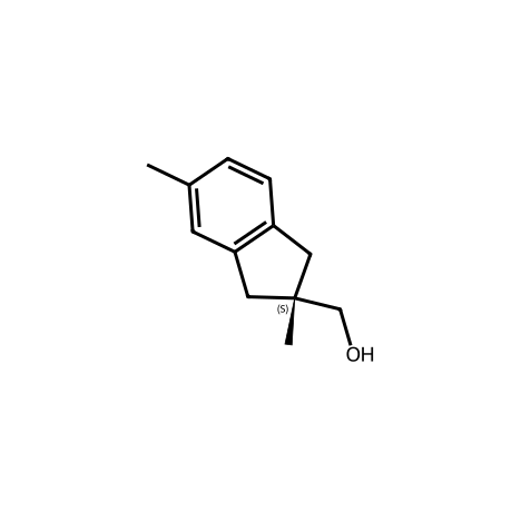 Cc1ccc2c(c1)C[C@@](C)(CO)C2